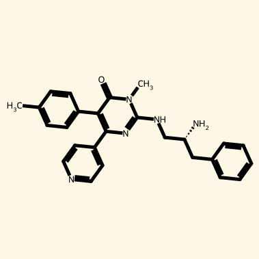 Cc1ccc(-c2c(-c3ccncc3)nc(NC[C@H](N)Cc3ccccc3)n(C)c2=O)cc1